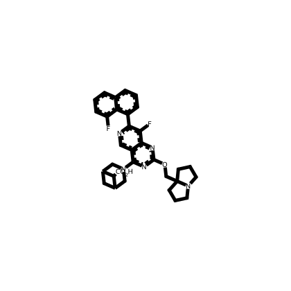 O=C(O)C1C2CC1CN(c1nc(OCC34CCCN3CCC4)nc3c(F)c(-c4cccc5cccc(F)c45)ncc13)C2